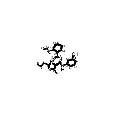 CCCc1nc(C)c2c(Nc3cccc(O)c3)nc(-c3ccccc3OCC)nn12